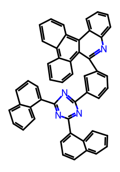 c1cc(-c2nc(-c3cccc4ccccc34)nc(-c3cccc4ccccc34)n2)cc(-c2nc3ccccc3c3c4ccccc4c4ccccc4c23)c1